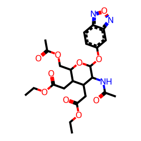 CCOC(=O)CC1C(COC(C)=O)OC(Oc2ccc3nonc3c2)C(NC(C)=O)C1CC(=O)OCC